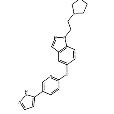 c1cc(-c2ccc(Oc3ccc4c(cnn4CCN4CCCC4)c3)nc2)[nH]n1